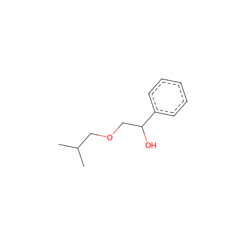 CC(C)COCC(O)c1ccccc1